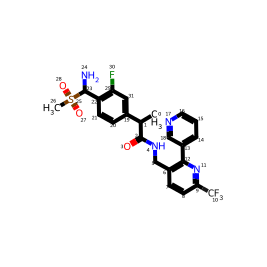 CC(C(=O)NCc1ccc(C(F)(F)F)nc1-c1cccnc1)c1ccc(C(N)S(C)(=O)=O)c(F)c1